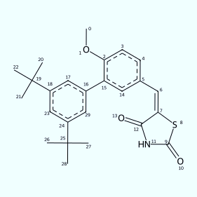 COc1ccc(/C=C2/SC(=O)NC2=O)cc1-c1cc(C(C)(C)C)cc(C(C)(C)C)c1